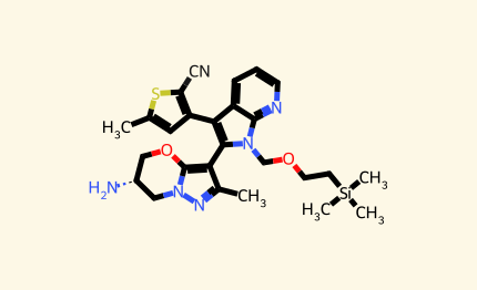 Cc1cc(-c2c(-c3c(C)nn4c3OC[C@@H](N)C4)n(COCC[Si](C)(C)C)c3ncccc23)c(C#N)s1